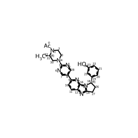 CC(=O)N1CCN(c2ncc(-c3ccc4nc5n(c4n3)[C@@H](c3cccc(O)c3)CC5)cn2)C[C@H]1C